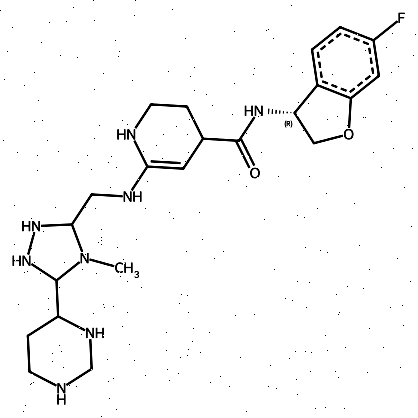 CN1C(CNC2=CC(C(=O)N[C@H]3COc4cc(F)ccc43)CCN2)NNC1C1CCNCN1